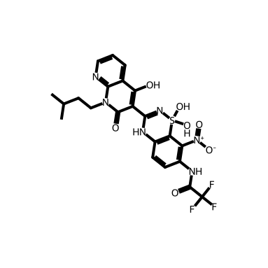 CC(C)CCn1c(=O)c(C2=NS(O)(O)c3c(ccc(NC(=O)C(F)(F)F)c3[N+](=O)[O-])N2)c(O)c2cccnc21